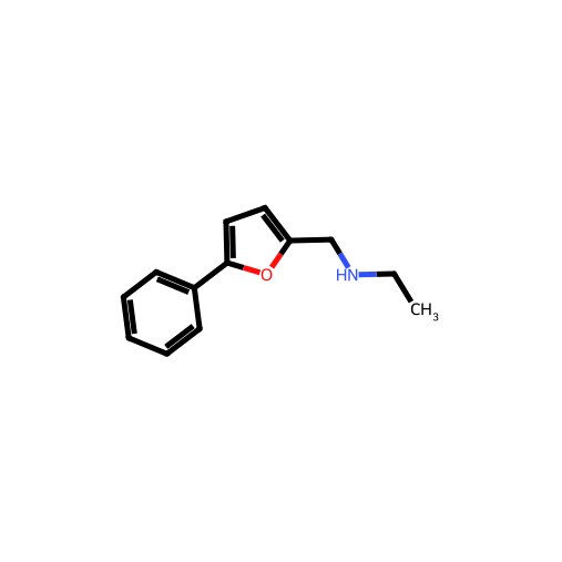 CCNCc1ccc(-c2ccccc2)o1